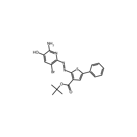 CC(C)(C)OC(=O)c1cc(-c2ccccc2)sc1N=Nc1nc(N)c(O)cc1Br